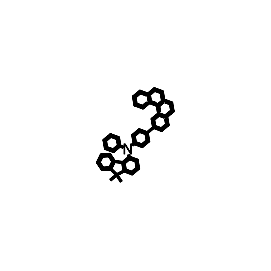 CC1(C)c2ccccc2-c2c(N(c3ccccc3)c3ccc(-c4ccc5ccc6ccc7ccccc7c6c5c4)cc3)cccc21